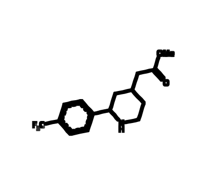 COC(=O)CC1CCNC(c2ccc(C(F)(F)F)cc2)C1